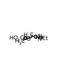 CCc1cnc(N2CCC(C(C)CCOc3ccc(C(=O)O)c(C)c3)CC2)nc1